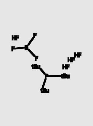 CC(C)(C)P(C(C)(C)C)C(C)(C)C.F.F.F.F.FB(F)F